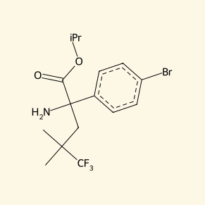 CC(C)OC(=O)C(N)(CC(C)(C)C(F)(F)F)c1ccc(Br)cc1